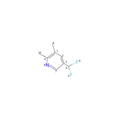 Cc1cc(C(F)F)cnc1C